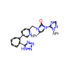 CCCc1cn(-c2ncnn2CCC)c(=O)n1Cc1ccc(-c2ccccc2-c2nnn[nH]2)cn1